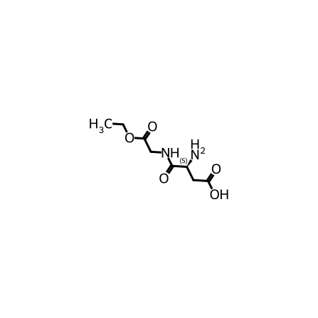 CCOC(=O)CNC(=O)[C@@H](N)CC(=O)O